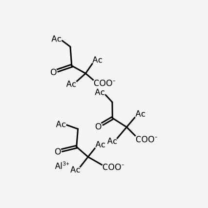 CC(=O)CC(=O)C(C(C)=O)(C(C)=O)C(=O)[O-].CC(=O)CC(=O)C(C(C)=O)(C(C)=O)C(=O)[O-].CC(=O)CC(=O)C(C(C)=O)(C(C)=O)C(=O)[O-].[Al+3]